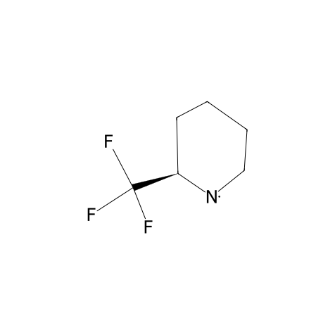 FC(F)(F)[C@H]1CCCC[N]1